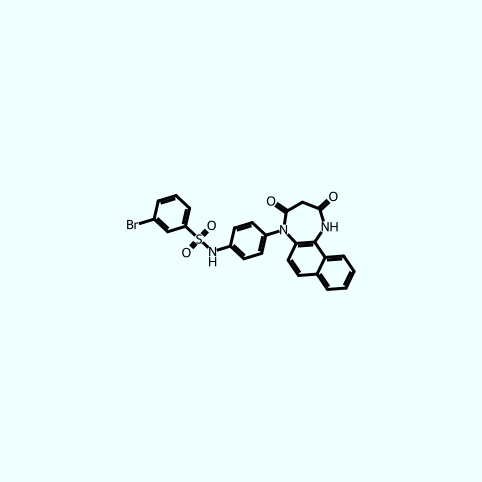 O=C1CC(=O)N(c2ccc(NS(=O)(=O)c3cccc(Br)c3)cc2)c2ccc3ccccc3c2N1